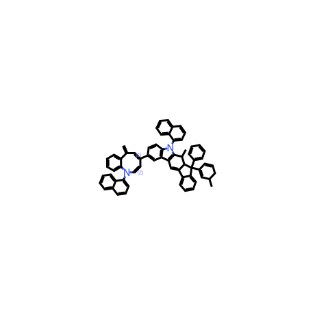 C=C1/C=C(c2ccc3c(c2)c2c(n3-c3cccc4ccccc34)C(C)C3C(=C2)c2ccccc2C3(C2=CC(C)CC=C2)c2ccccc2)\C=C/N(c2cccc3ccccc23)c2ccccc21